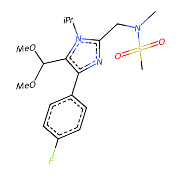 COC(OC)c1c(-c2ccc(F)cc2)nc(CN(C)S(C)(=O)=O)n1C(C)C